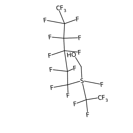 OCS(F)(C(F)(F)C(F)(F)F)C(F)(F)C(F)(F)C(F)(F)C(F)(F)C(F)(F)C(F)(F)F